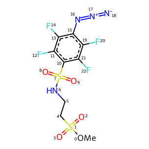 COS(=O)(=O)CCNS(=O)(=O)c1c(F)c(F)c(N=[N+]=[N-])c(F)c1F